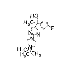 CC(CO)(c1ccc(F)cc1)c1cnc(N2CCN(C(C)(C)C)CC2)nc1